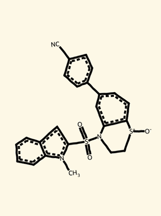 Cn1c(S(=O)(=O)N2CC[S+]([O-])c3ccc(-c4ccc(C#N)cc4)cc32)cc2ccccc21